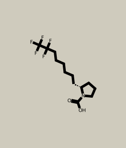 O=C(O)N1CCC[C@H]1CCCCCCC(F)(F)C(F)(F)F